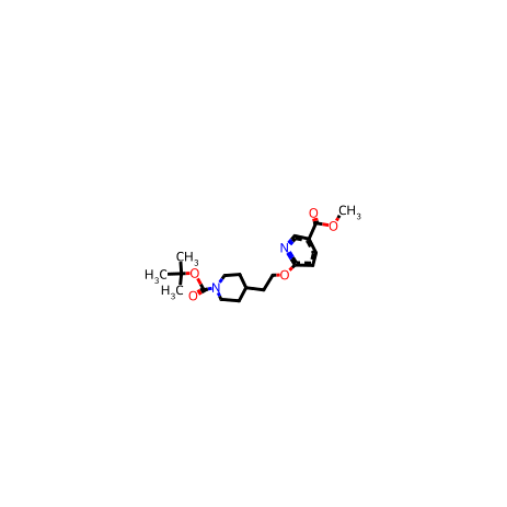 COC(=O)c1ccc(OCCC2CCN(C(=O)OC(C)(C)C)CC2)nc1